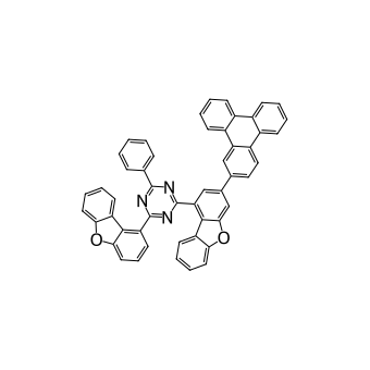 c1ccc(-c2nc(-c3cccc4oc5ccccc5c34)nc(-c3cc(-c4ccc5c6ccccc6c6ccccc6c5c4)cc4oc5ccccc5c34)n2)cc1